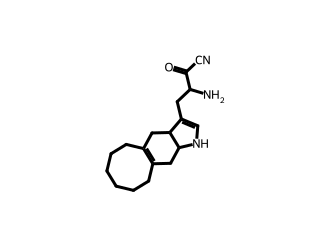 N#CC(=O)C(N)CC1=CNC2CC3=C(CCCCCC3)CC12